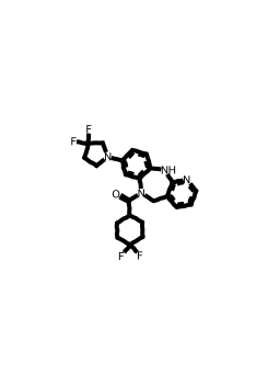 O=C(C1CCC(F)(F)CC1)N1Cc2cccnc2Nc2ccc(N3CCC(F)(F)C3)cc21